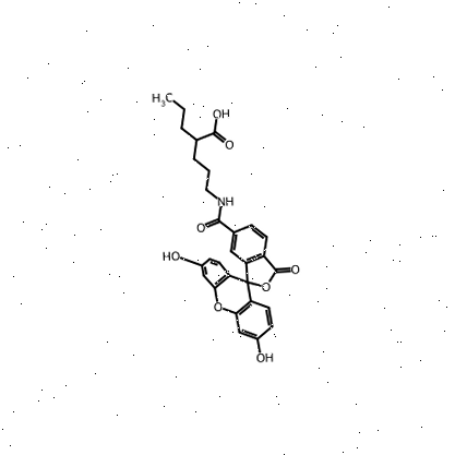 CCCC(CCCNC(=O)c1ccc2c(c1)C1(OC2=O)c2ccc(O)cc2Oc2cc(O)ccc21)C(=O)O